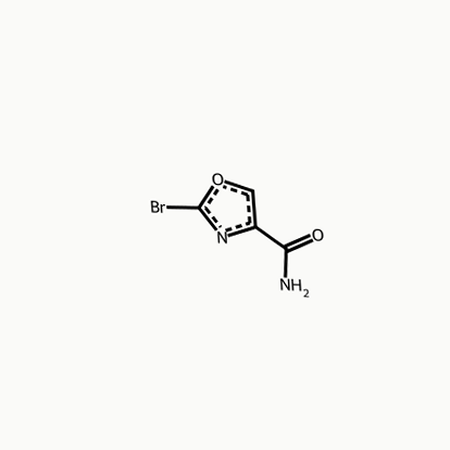 NC(=O)c1coc(Br)n1